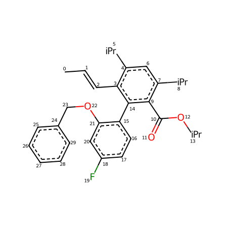 CC=Cc1c(C(C)C)cc(C(C)C)c(C(=O)OC(C)C)c1-c1ccc(F)cc1OCc1ccccc1